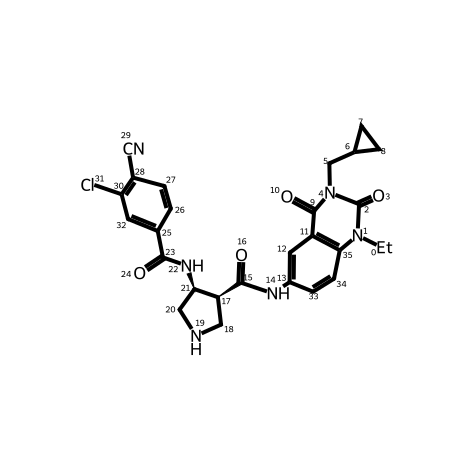 CCn1c(=O)n(CC2CC2)c(=O)c2cc(NC(=O)[C@H]3CNC[C@H]3NC(=O)c3ccc(C#N)c(Cl)c3)ccc21